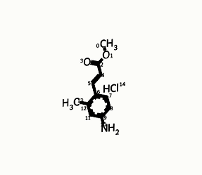 COC(=O)/C=C/c1ccc(N)cc1C.Cl